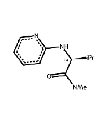 CNC(=O)[C@@H](Nc1ccccn1)C(C)C